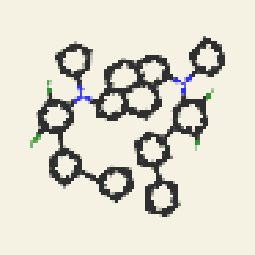 Fc1cc(F)c(N(c2ccccc2)c2ccc3ccc4c(N(c5ccccc5)c5cc(-c6cccc(-c7ccccc7)c6)c(F)cc5F)ccc5ccc2c3c54)cc1-c1cccc(-c2ccccc2)c1